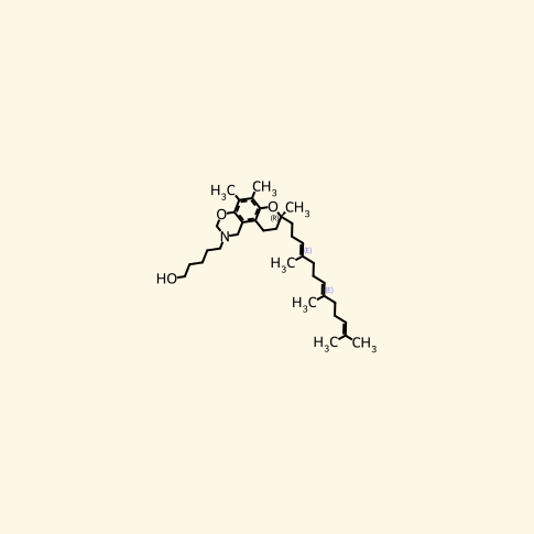 CC(C)=CCC/C(C)=C/CC/C(C)=C/CC[C@]1(C)CCc2c3c(c(C)c(C)c2O1)OCN(CCCCCO)C3